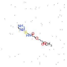 COC(=O)CCCCOC=CCC(=O)NCCSSCCN/C=C\N